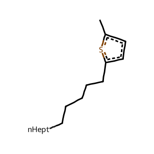 CCCCCCCCCCCCc1ccc(C)s1